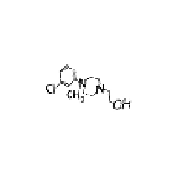 Cc1c(Cl)cccc1N1CCN(CCO)CC1